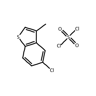 Cc1csc2ccc(Cl)cc12.O=S(=O)(Cl)Cl